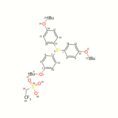 CC(C)(C)Oc1ccc([S+](c2ccc(OC(C)(C)C)cc2)c2ccc(OC(C)(C)C)cc2)cc1.O=S(=O)([O-])CC(F)(F)F